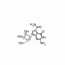 NC(=O)c1cn([C@@H]2O[C@H](CO)[C@@H](O)[C@H]2O)c2nc(N)[nH]c(=O)c12